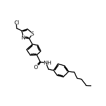 CCCCCc1ccc(CNC(=O)c2ccc(-c3nc(CCl)cs3)cc2)cc1